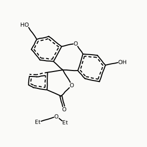 CCOCC.O=C1OC2(c3ccc(O)cc3Oc3cc(O)ccc32)c2ccccc21